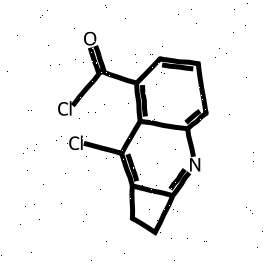 O=C(Cl)c1cccc2nc3c(c(Cl)c12)CC3